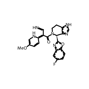 COC1=CN/C(=C(\C=N)C(=O)N2CCc3[nH]cnc3[C@H]2c2nc3cc(F)ccc3o2)C=C1